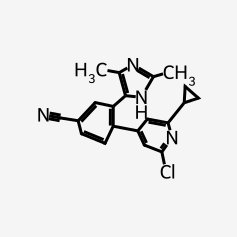 Cc1nc(C)c(-c2cc(C#N)ccc2-c2cc(Cl)nc(C3CC3)c2)[nH]1